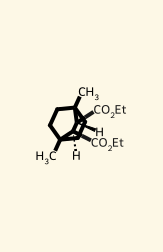 CCOC(=O)[C@@H]1[C@@H](C(=O)OCC)C2(C)CCC1(C)CC2